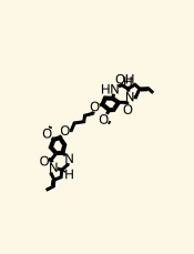 C/C=C1/C[C@H]2C=Nc3cc(OCCCCCOc4cc5c(cc4OC)C(=O)N4C/C(=C\C)C[C@H]4[C@H](O)N5)c(OC)cc3C(=O)N2C1